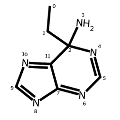 CCC1(N)N=CN=C2N=CN=C21